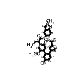 CCC(C(=O)Nc1ccc2nn(C)cc2c1)n1cc(OC)c(-c2cc(Cl)ccc2-c2cc(C(F)F)on2)cc1=O